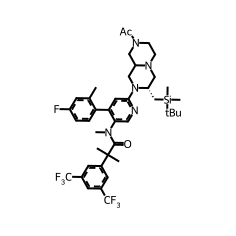 CC(=O)N1CCN2C[C@H](C[Si](C)(C)C(C)(C)C)N(c3cc(-c4ccc(F)cc4C)c(N(C)C(=O)C(C)(C)c4cc(C(F)(F)F)cc(C(F)(F)F)c4)cn3)CC2C1